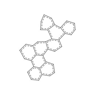 c1ccc2c(c1)c1ccccc1c1c2ccc2c1cc1cccc3c4cccc5cccc(c54)c2c13